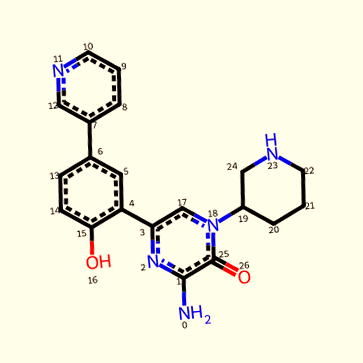 Nc1nc(-c2cc(-c3cccnc3)ccc2O)cn(C2CCCNC2)c1=O